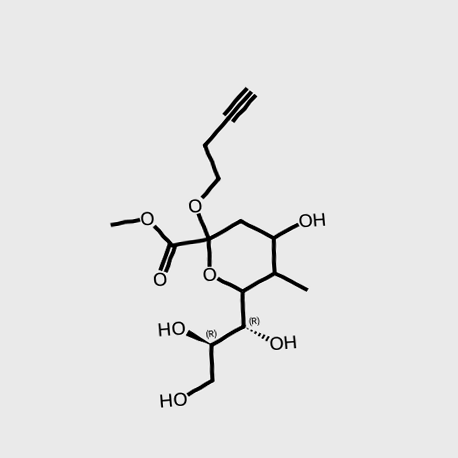 C#CCCOC1(C(=O)OC)CC(O)C(C)C([C@H](O)[C@H](O)CO)O1